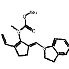 C=CC1=C(N(C)C(=O)OC(C)(C)C)/C(=C/N2CCc3ccccc32)CC1